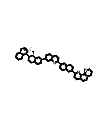 CC[C@H]1c2cc(-c3ccc4ccc(-c5ccc6cc(-c7ccc8ccc9cccnc9c8n7)ccc6c5)nc4c3)ccc2C=CC1c1cccc2ccccc12